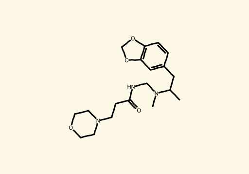 CC(Cc1ccc2c(c1)OCO2)N(C)CNC(=O)CCN1CCOCC1